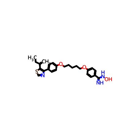 C=C(CC)c1scnc1-c1ccc(OCCCCCOc2ccc(C(=N)NO)cc2)cc1